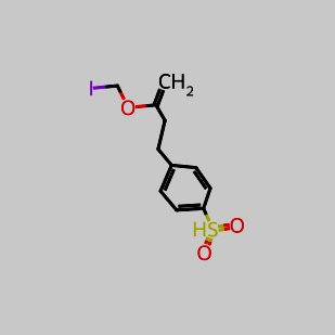 C=C(CCc1ccc([SH](=O)=O)cc1)OCI